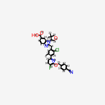 Cc1cc(Cc2nc3ccc(C(=O)O)cc3n2[C@@H]2COCC2(C)C)c(Cl)cc1-c1ccc(F)c(OCc2ccc(C#N)cc2)n1